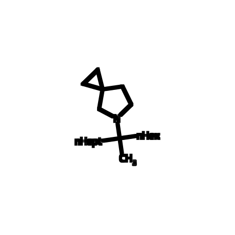 CCCCCCCC(C)(CCCCCC)N1CCC2(CC2)C1